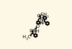 CCCC(C(=O)NCCCOc1ccc(CC(Nc2ccccc2C(=O)c2ccccc2)C(=O)OC)cc1)c1ccccc1F